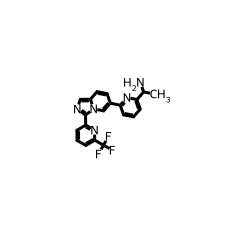 CC(N)c1cccc(-c2ccc3cnc(-c4cccc(C(F)(F)F)n4)n3c2)n1